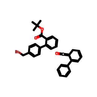 CC(C)(C)OC(=O)c1ccccc1-c1ccc(CBr)cc1.O=C=C1CC=CC=C1c1ccccc1